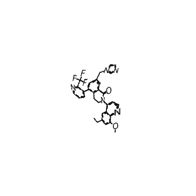 CCc1cc(OC)c2nccc(N3CCc4c(cc(Cn5ccnc5)cc4-c4cccnc4C(F)(F)F)C3=O)c2c1